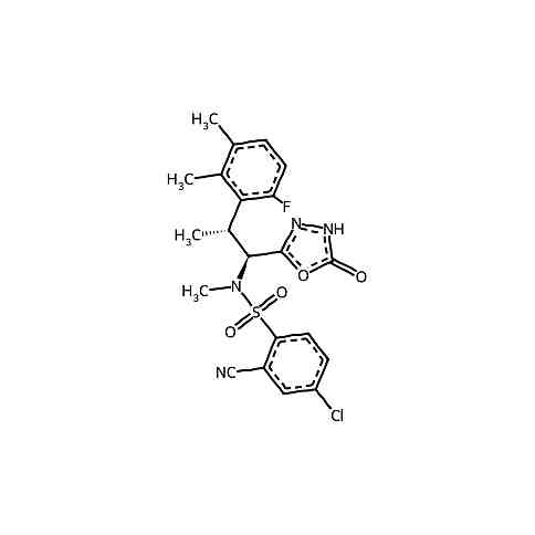 Cc1ccc(F)c([C@@H](C)[C@@H](c2n[nH]c(=O)o2)N(C)S(=O)(=O)c2ccc(Cl)cc2C#N)c1C